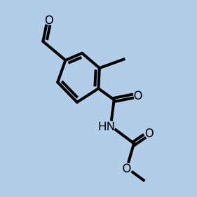 COC(=O)NC(=O)c1ccc(C=O)cc1C